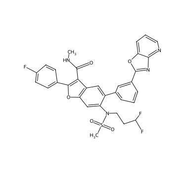 CNC(=O)c1c(-c2ccc(F)cc2)oc2cc(N(CCC(F)F)S(C)(=O)=O)c(-c3cccc(-c4nc5ncccc5o4)c3)cc12